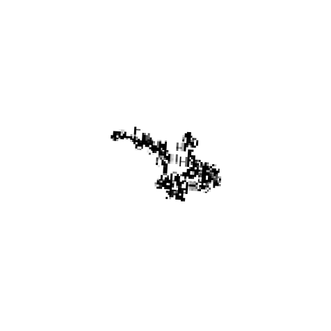 C=C1C[C@H]2C(O)N(C(=O)OCc3ccc(O[C@@H]4O[C@H](C(=O)O)[C@@H](OC(C)=O)[C@H](OC(C)=O)[C@H]4OC(C)=O)c(C(=O)NCCCNC(=O)OC(C)(C)C)c3)c3cc(OCCCC(=O)Nc4cc(C(=O)Nc5cc(C(=O)NCCCO[Si](C)(C)C(C)(C)C)n(C)c5)n(C)c4)c(OC)cc3C(=O)N2C1